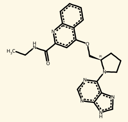 CCNC(=O)c1cc(OC[C@H]2CCCN2c2ncnc3[nH]cnc23)c2ccccc2n1